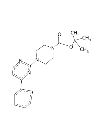 CC(C)(C)OC(=O)N1CCN(c2nccc(-c3ccccc3)n2)CC1